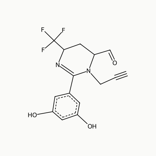 C#CCN1C(c2cc(O)cc(O)c2)=NC(C(F)(F)F)CC1C=O